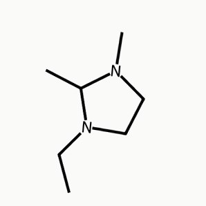 CCN1CCN(C)C1C